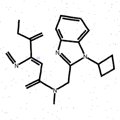 C=N/C(=C\C(=C)N(C)Cc1nc2ccccc2n1C1CCC1)C(=C)CC